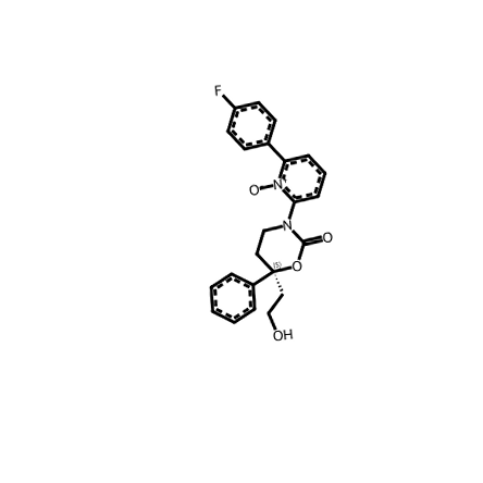 O=C1O[C@@](CCO)(c2ccccc2)CCN1c1cccc(-c2ccc(F)cc2)[n+]1[O-]